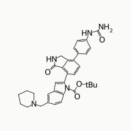 CC(C)(C)OC(=O)n1c(-c2ccc(-c3ccc(NC(N)=O)cc3)c3c2C(=O)NC3)cc2cc(CN3CCCCC3)ccc21